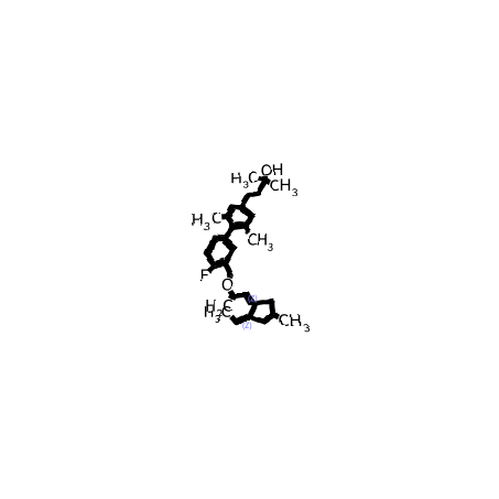 C=C(/C=C1/CC(C)C/C1=C/C)OCc1cc(-c2c(C)cc(CCC(C)(C)O)cc2C)ccc1F